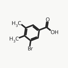 Cc1cc(C(=O)O)cc(Br)c1C